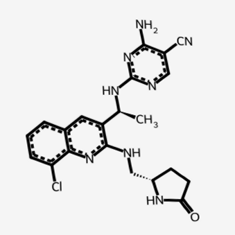 C[C@H](Nc1ncc(C#N)c(N)n1)c1cc2cccc(Cl)c2nc1NC[C@@H]1CCC(=O)N1